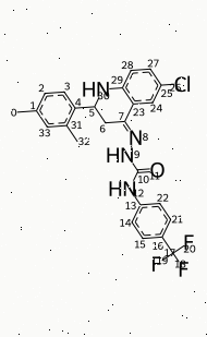 Cc1ccc(C2CC(=NNC(=O)Nc3ccc(C(F)(F)F)cc3)c3cc(Cl)ccc3N2)c(C)c1